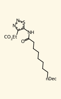 CCCCCCCCCCCCCCCCCC(=O)Nc1snnc1C(=O)OCC